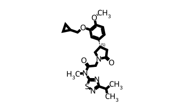 COc1ccc([C@@H]2CC(=O)N(CC(=O)N(C)c3nc(C(C)C)ns3)C2)cc1OCC1CC1